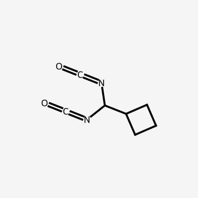 O=C=NC(N=C=O)C1CCC1